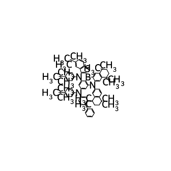 CC(C)(C)c1ccc(N(c2ccc(-c3ccccc3)cc2)c2cc3c4c(c2)N(c2ccc(C(C)(C)C)cc2)c2c(sc5ccc(C(C)(C)C)cc25)B4c2cc4c(cc2N3c2ccc3c(c2)C(C)(C)CCC3(C)C)C(C)(C)CCC4(C)C)cc1